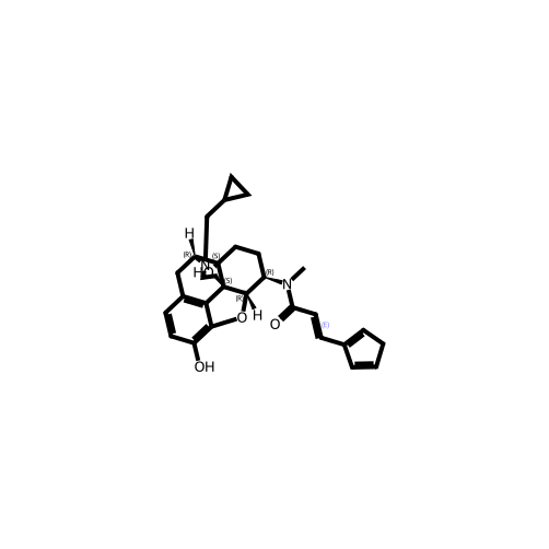 CN(C(=O)/C=C/C1=CCC=C1)[C@@H]1CC[C@@]2(O)[C@H]3Cc4ccc(O)c5c4[C@@]2(CCN3CC2CC2)[C@H]1O5